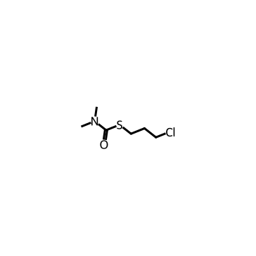 CN(C)C(=O)SCCCCl